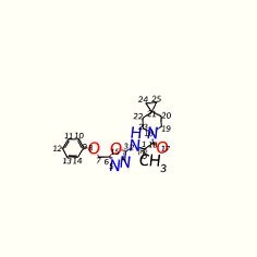 C[C@@H](Nc1nnc(COc2ccccc2)o1)C(=O)N1CCC2(CC1)CC2